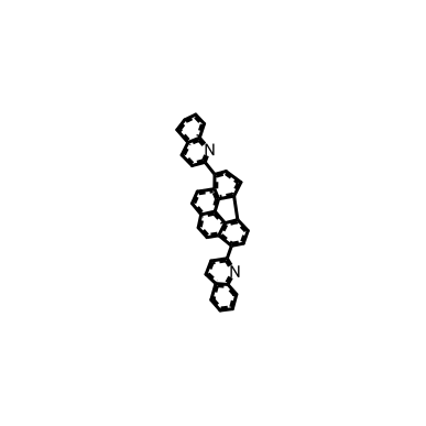 c1ccc2nc(-c3ccc4c5c3ccc3ccc6c(-c7ccc8ccccc8n7)ccc-4c6c35)ccc2c1